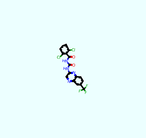 O=C(NC(=O)c1c(Cl)cccc1Cl)Nc1cnc2cc(C(F)(F)F)ccc2n1